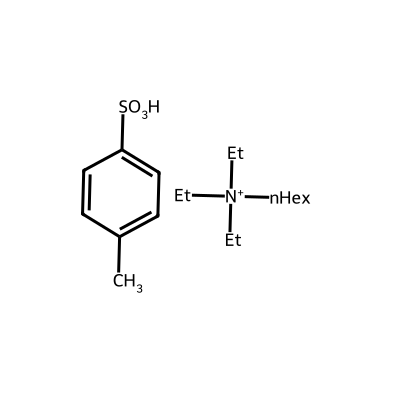 CCCCCC[N+](CC)(CC)CC.Cc1ccc(S(=O)(=O)O)cc1